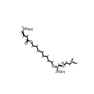 [CH2]CCCCCCCN(C=[SH]CCN(C)C)OCCCCCCCCOC(=O)C/C=C\CCCCC